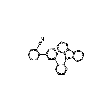 N#Cc1ccccc1-c1cccc(-c2ccccc2-n2c3ccccc3c3ccccc32)c1